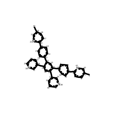 Cc1ccc(-c2ccc(-c3cc(-c4ccc(-c5ccc(C)cn5)cc4)c(-c4cccnc4)cc3-c3cccnc3)cc2)nc1